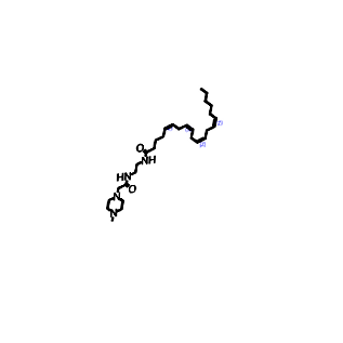 CCCCC/C=C\C/C=C\C/C=C\C/C=C\CCCC(=O)NCCNC(=O)CN1CCN(C)CC1